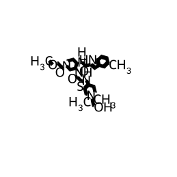 COCC(=O)N1CC[C@H](NC(=O)c2cc3cc(C)ccc3[nH]2)[C@H](NC(=O)c2nc3c(s2)CN(C(C)(C)CO)CC3)C1